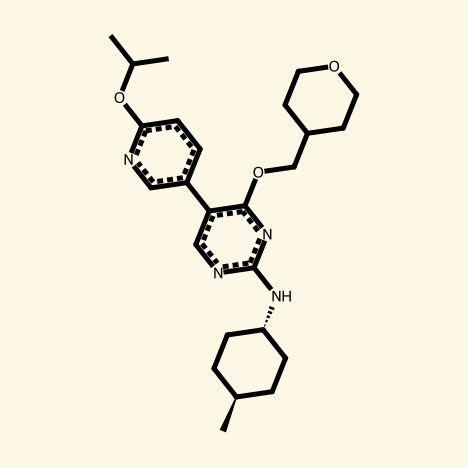 CC(C)Oc1ccc(-c2cnc(N[C@H]3CC[C@H](C)CC3)nc2OCC2CCOCC2)cn1